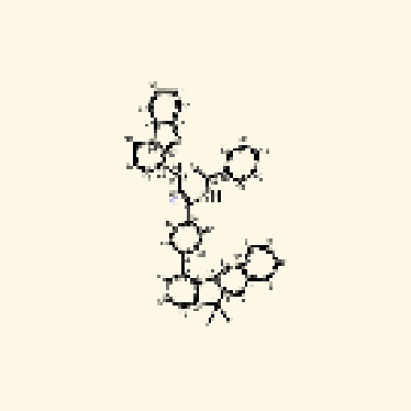 CC1(C)c2cc3ccccc3cc2-c2c(-c3ccc(/C(=C/Cc4cccc5c4sc4ccccc45)NC(N)c4ccccc4)cc3)cccc21